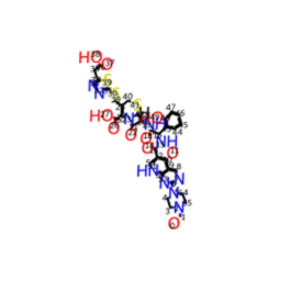 O=CN1CCN(c2ncc3c(=O)c(C(=O)NC(C(=O)NC4C(=O)N5C(C(=O)O)=C(CSc6nnc(CC(=O)O)s6)CS[C@H]45)c4ccccc4O)c[nH]c3n2)CC1